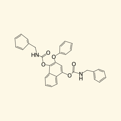 O=C(NCc1ccccc1)Oc1cc(Oc2ccccc2)c(OC(=O)NCc2ccccc2)c2ccccc12